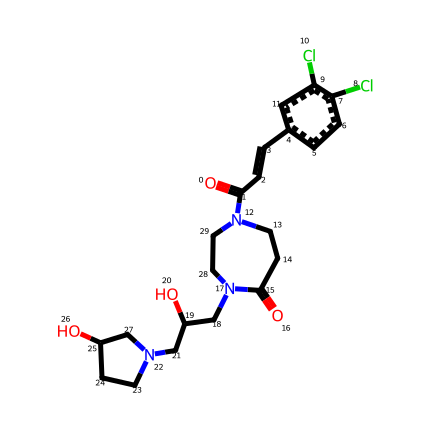 O=C(/C=C/c1ccc(Cl)c(Cl)c1)N1CCC(=O)N(CC(O)CN2CCC(O)C2)CC1